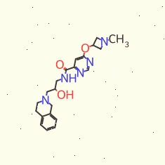 CN1CC(Oc2cc(C(=O)NCC(O)CN3CCc4ccccc4C3)ncn2)C1